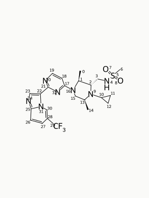 C[C@H]1[C@H](CNS(C)(=O)=O)N(C2CC2)[C@@H](C)CN1c1ccnc(-c2cnc3ccc(C(F)(F)F)cn23)n1